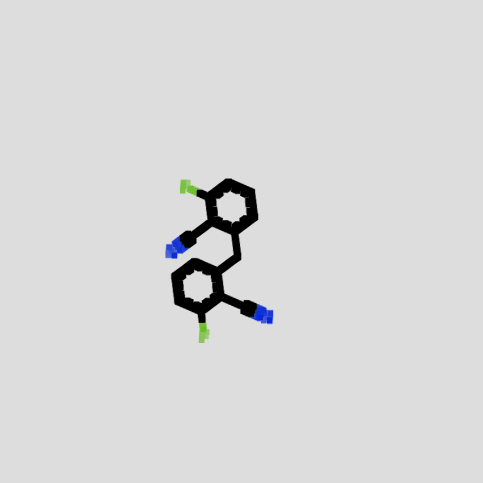 N#Cc1c(F)cccc1Cc1cccc(F)c1C#N